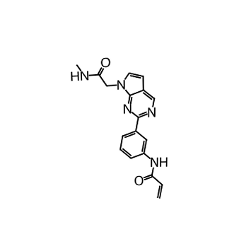 C=CC(=O)Nc1cccc(-c2ncc3ccn(CC(=O)NC)c3n2)c1